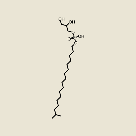 CC(C)CCCCCCCCCCCCCCCOP(=O)(O)OCC(O)CO